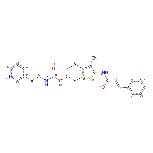 N#Cc1c(NC(=O)C=Cc2cccnc2)sc2c1CCC(OC(=O)NCCc1cccnc1)C2